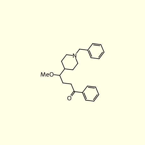 COC(CCC(=O)c1ccccc1)C1CCN(Cc2ccccc2)CC1